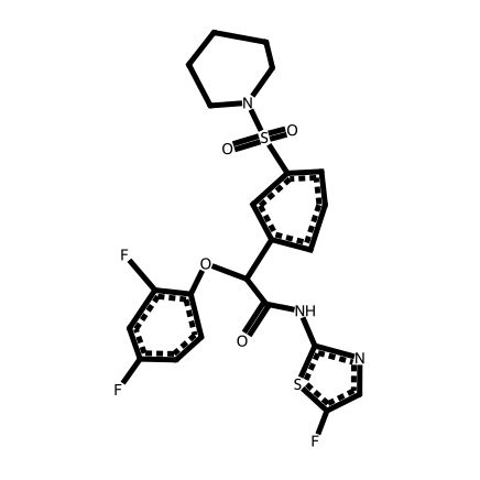 O=C(Nc1ncc(F)s1)C(Oc1ccc(F)cc1F)c1cccc(S(=O)(=O)N2CCCCC2)c1